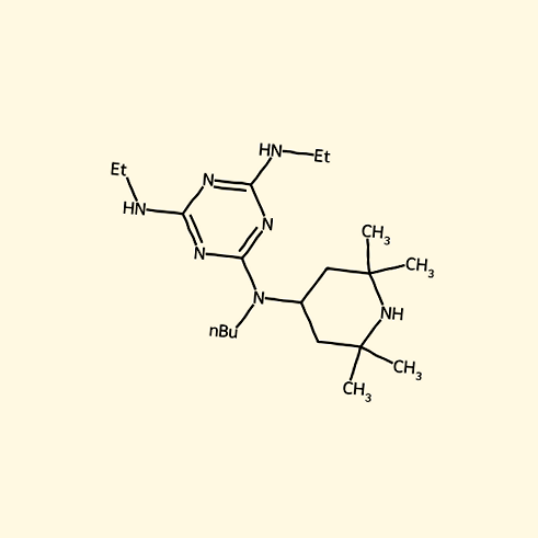 CCCCN(c1nc(NCC)nc(NCC)n1)C1CC(C)(C)NC(C)(C)C1